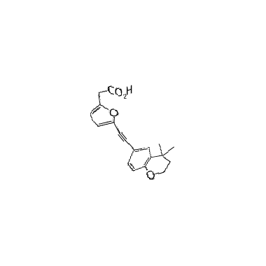 CC1(C)CCOc2ccc(C#Cc3ccc(CC(=O)O)o3)cc21